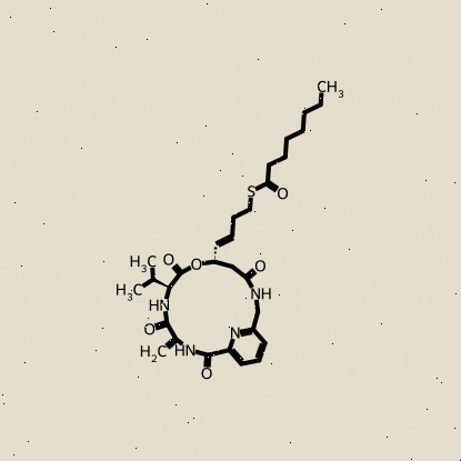 C=C1NC(=O)c2cccc(n2)CNC(=O)C[C@@H](/C=C/CCSC(=O)CCCCCCC)OC(=O)[C@H](C(C)C)NC1=O